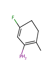 CC1=C(P)C=C(F)CC1